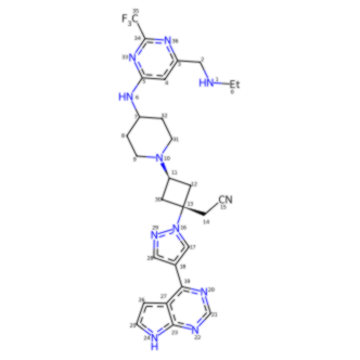 CCNCc1cc(NC2CCN([C@H]3C[C@](CC#N)(n4cc(-c5ncnc6[nH]ccc56)cn4)C3)CC2)nc(C(F)(F)F)n1